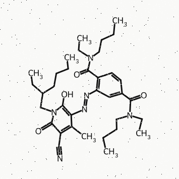 CCCCC(CC)Cn1c(O)c(/N=N/c2cc(C(=O)N(CC)CCCC)ccc2C(=O)N(CC)CCCC)c(C)c(C#N)c1=O